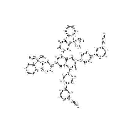 CC1(C)c2ccccc2-c2ccc(-c3cc(-c4ccc5c(c4)C(C)(C)c4ccccc4-5)c4nc(-c5ccc(-c6cccc(C#N)c6)cc5)nc(-c5ccc(-c6cccc(C#N)c6)cc5)c4c3)cc21